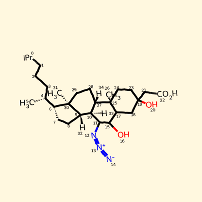 CC(C)CCC[C@@H](C)[C@H]1CC[C@H]2[C@@H]3C(N=[N+]=[N-])C(O)C4CC(O)(CC(=O)O)CC[C@]4(C)[C@H]3CC[C@]12C